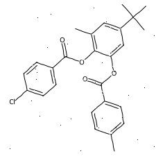 Cc1ccc(C(=O)Oc2cc(C(C)(C)C)cc(C)c2OC(=O)c2ccc(Cl)cc2)cc1